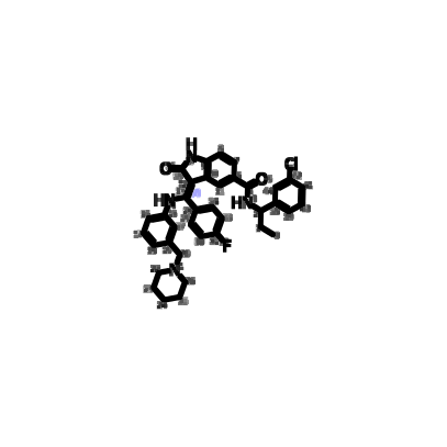 CCC(NC(=O)c1ccc2c(c1)/C(=C(/Nc1cccc(CN3CCCCC3)c1)c1ccc(F)cc1)C(=O)N2)c1cccc(Cl)c1